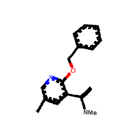 C=C(NC)c1cc(C)cnc1OCc1ccccc1